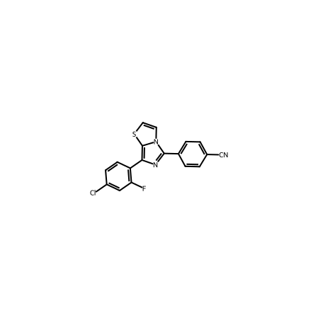 N#Cc1ccc(-c2nc(-c3ccc(Cl)cc3F)c3sccn23)cc1